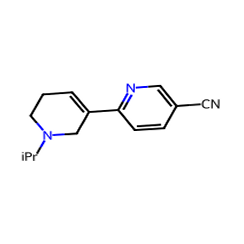 CC(C)N1CCC=C(c2ccc(C#N)cn2)C1